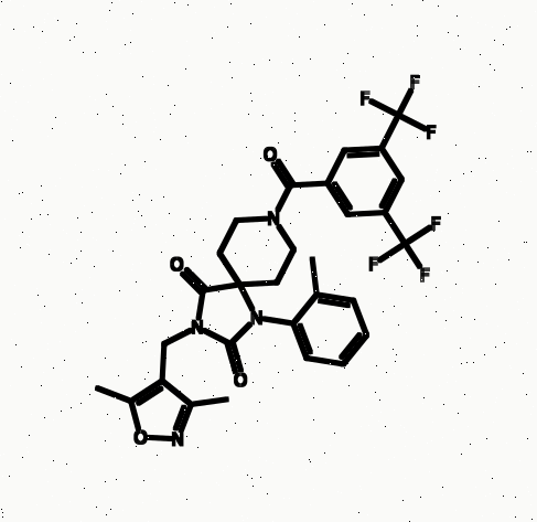 Cc1ccccc1N1C(=O)N(Cc2c(C)noc2C)C(=O)C12CCN(C(=O)c1cc(C(F)(F)F)cc(C(F)(F)F)c1)CC2